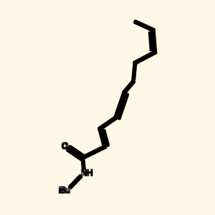 C/C=C\CC/C=C/C=C/C(=O)NC(C)CC